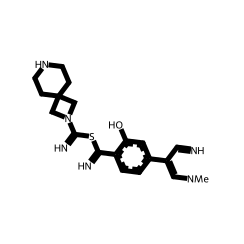 CN/C=C(\C=N)c1ccc(C(=N)SC(=N)N2CC3(CCNCC3)C2)c(O)c1